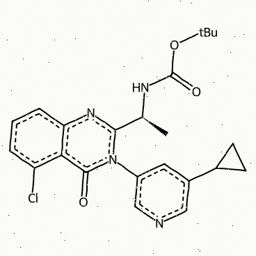 C[C@H](NC(=O)OC(C)(C)C)c1nc2cccc(Cl)c2c(=O)n1-c1cncc(C2CC2)c1